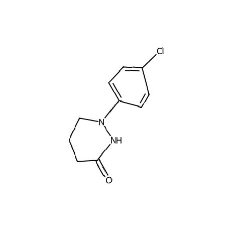 O=C1CCCN(c2ccc(Cl)cc2)N1